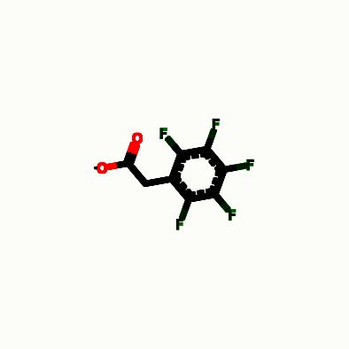 [O]C(=O)Cc1c(F)c(F)c(F)c(F)c1F